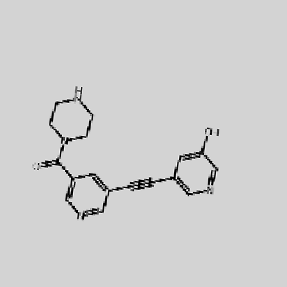 O=C(c1cncc(C#Cc2cncc(O)c2)c1)N1CCNCC1